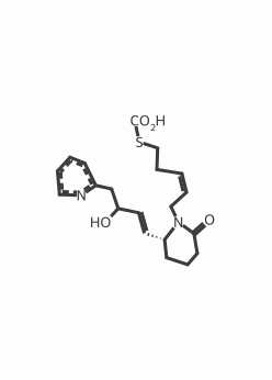 O=C(O)SCC/C=C\CN1C(=O)CCC[C@@H]1/C=C/C(O)Cc1ccccn1